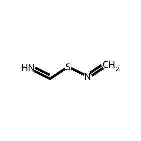 C=NSC=N